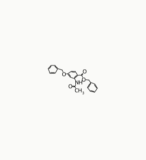 CC(=O)Nc1cc(OCc2ccccc2)ccc1C(=O)OCc1ccccc1